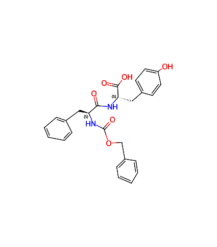 O=C(N[C@@H](Cc1ccccc1)C(=O)N[C@@H](Cc1ccc(O)cc1)C(=O)O)OCc1ccccc1